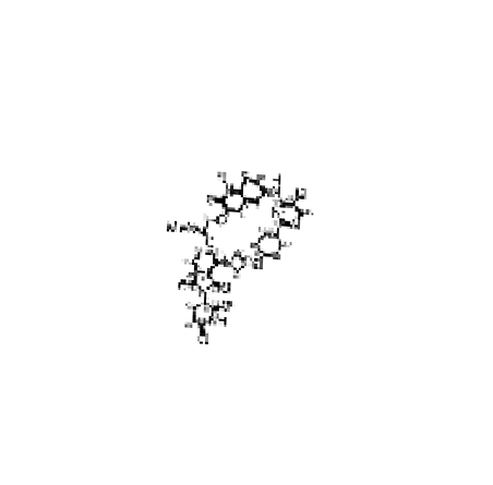 CNC(=O)COc1cc2cc(Nc3nc(N4CCC(OC5CN(c6cccc7c6C(=O)N(C6CCC(=O)NC6=O)C7=O)C5)CC4)ncc3Cl)ccc2n(C)c1=O